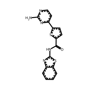 Nc1nccc(-c2ccc(C(=O)Nc3nc4ccccc4s3)s2)n1